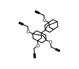 C#CCOC12CC3CC(C1)CC(C14CC5(OCC#C)CC(OCC#C)(CC(OCC#C)(C5)C1)C4)(C3)C2